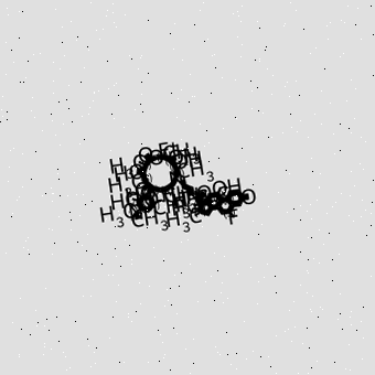 CC[C@H]1OC(=O)[C@H](C)C(O)[C@H](C)C(O[C@@H]2O[C@H](C)C[C@@H](N(C)C)[C@H]2O)[C@](C)(O)C[C@@H](C)CN(CCCNC(=O)[C@@]2(O)[C@H](C)CC3C4C[C@H](F)C5=CC(=O)C=C[C@]5(C)[C@@]4(F)[C@@H](O)C[C@@]32C)[C@H](C)[C@@H](O)[C@]1(C)O